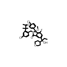 CC[C@@](O)(c1cc(F)c2c(c1)C(=O)N(Cc1ccc(Cl)cc1C(C)(C)C(C)=O)[C@@]2(OC)c1ccc(Cl)cc1)C1CCOCC1